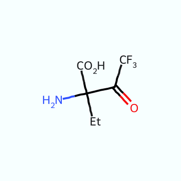 CCC(N)(C(=O)O)C(=O)C(F)(F)F